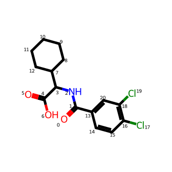 O=C(NC(C(=O)O)C1CCCCC1)c1ccc(Cl)c(Cl)c1